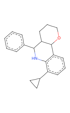 c1ccc(C2Nc3c(C4CC4)cccc3C3OCCCC23)cc1